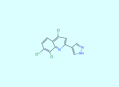 Clc1ccc2c(Cl)cc(-c3cn[nH]c3)nc2c1Cl